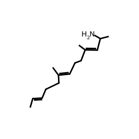 CC=CCC/C(C)=C/CC/C(C)=C/C(C)N